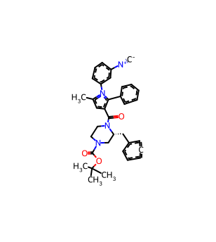 [C-]#[N+]c1cccc(-n2c(C)cc(C(=O)N3CCN(C(=O)OC(C)(C)C)C[C@H]3Cc3ccccc3)c2-c2ccccc2)c1